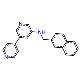 c1ccc2cc(CNc3cncc(-c4ccncc4)c3)ccc2c1